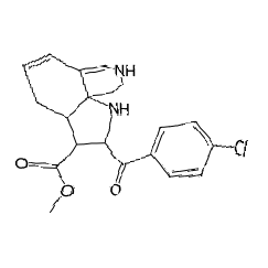 COC(=O)C1C(C(=O)c2ccc(Cl)cc2)NC23CCNC=C2C=CCC13